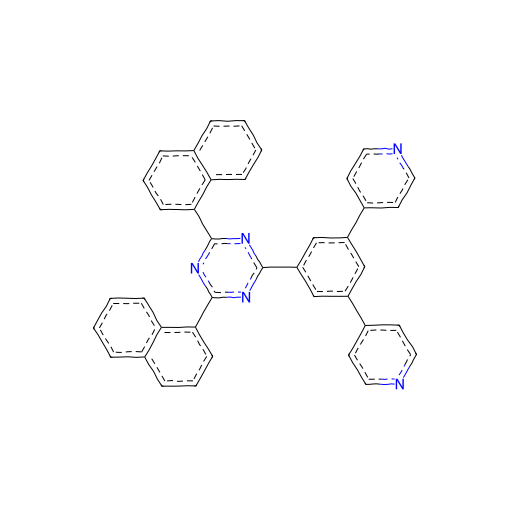 c1ccc2c(-c3nc(-c4cc(-c5ccncc5)cc(-c5ccncc5)c4)nc(-c4cccc5ccccc45)n3)cccc2c1